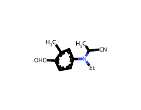 CCN(c1ccc(C=O)c(C)c1)C(C)C#N